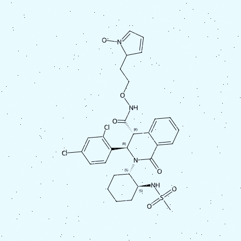 CS(=O)(=O)N[C@H]1CCCC[C@@H]1N1C(=O)c2ccccc2[C@@H](C(=O)NOCCC2C=CC=[N+]2[O-])[C@@H]1c1ccc(Cl)cc1Cl